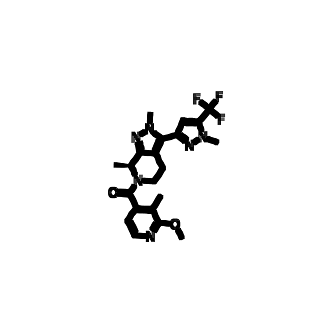 COc1nccc(C(=O)N2CCc3c(nn(C)c3-c3cc(C(F)(F)F)n(C)n3)[C@@H]2C)c1C